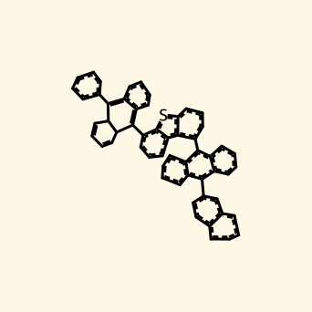 C1=CC2C(c3ccccc3)=c3ccccc3=C(c3cccc4c3sc3cccc(-c5c6ccccc6c(-c6ccc7ccccc7c6)c6ccccc56)c34)C2C=C1